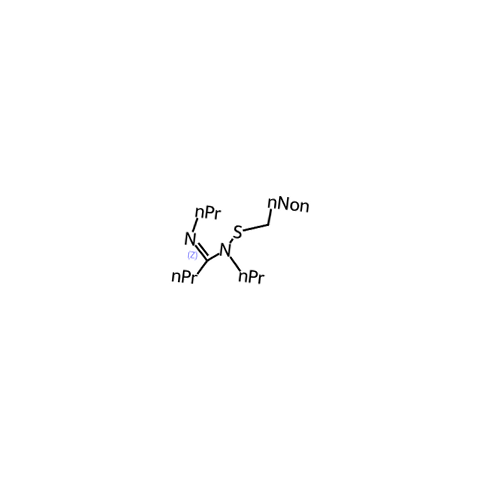 CCCCCCCCCCSN(CCC)/C(CCC)=N\CCC